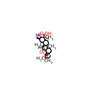 CC1(C)CC[C@@]23CC[C@@]4(C)[C@]5(C)CC[C@@H]6[C@](C)(Cc7cnoc7[C@@]6(C)C(=O)O)C5=CC(=O)[C@]4(OC2=O)[C@@H]3C1